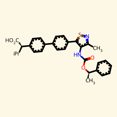 Cc1nsc(-c2ccc(-c3ccc([C@H](C(=O)O)C(C)C)cc3)cc2)c1NC(=O)O[C@H](C)c1ccccc1